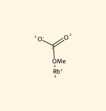 COC(=O)[O-].[Rb+]